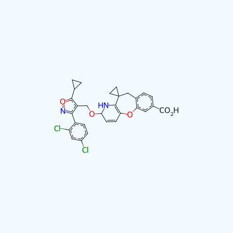 O=C(O)c1ccc2c(c1)OC1=C(NC(OCc3c(-c4ccc(Cl)cc4Cl)noc3C3CC3)C=C1)C1(CC1)C2